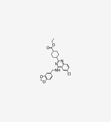 CCOC(=O)C1CCC(c2nc(NCc3ccc4c(c3)OCO4)c3cc(Cl)ccc3n2)CC1